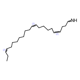 CC/C=C\CCCCCCC/C=C\CCCC/C=C\CCC=N